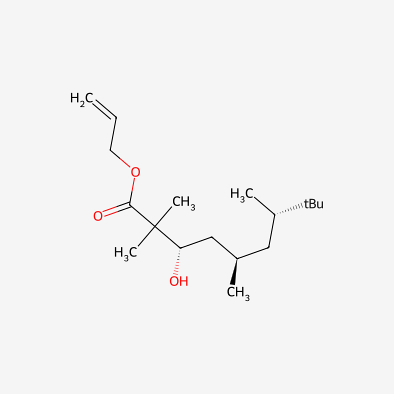 C=CCOC(=O)C(C)(C)[C@@H](O)C[C@H](C)C[C@H](C)C(C)(C)C